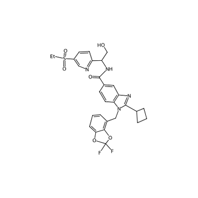 CCS(=O)(=O)c1ccc(C(CO)NC(=O)c2ccc3c(c2)nc(C2CCC2)n3Cc2cccc3c2OC(F)(F)O3)nc1